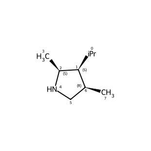 CC(C)[C@@H]1[C@H](C)NC[C@@H]1C